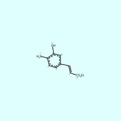 CCOC(=O)/C=C/c1ccc(N)c(O)c1